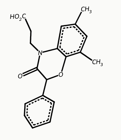 Cc1cc(C)c2c(c1)N(CCC(=O)O)C(=O)C(c1ccccc1)O2